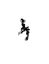 C=CC(=C)Oc1c(C#Cc2ccc(/C=C/OC(=O)C(=C)C)cc2)c(CCC)c(OC(=O)C=C)c(C#Cc2ccc(/C=C/OC(=O)C(=C)C)cc2)c1CCCF